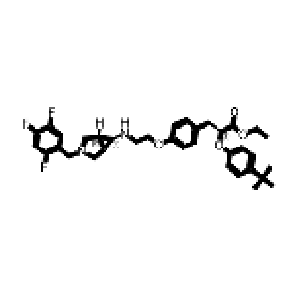 CCOC(=O)[C@H](Cc1ccc(OCCN[C@H]2C3CN(Cc4cc(F)c(F)cc4F)C[C@@H]32)cc1)Oc1ccc(C(C)(C)C)cc1